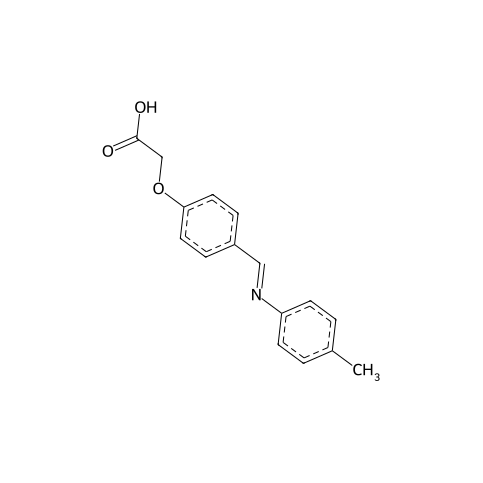 Cc1ccc(N=Cc2ccc(OCC(=O)O)cc2)cc1